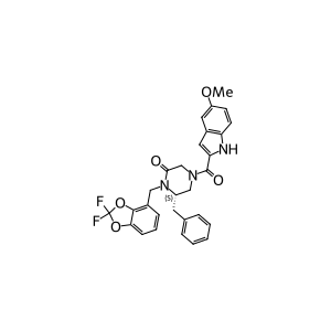 COc1ccc2[nH]c(C(=O)N3CC(=O)N(Cc4cccc5c4OC(F)(F)O5)[C@@H](Cc4ccccc4)C3)cc2c1